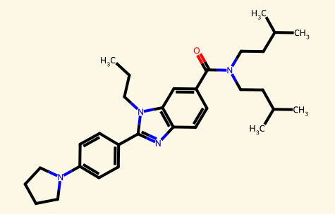 CCCn1c(-c2ccc(N3CCCC3)cc2)nc2ccc(C(=O)N(CCC(C)C)CCC(C)C)cc21